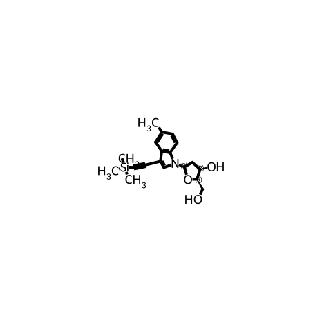 Cc1ccc2c(c1)c(C#C[Si](C)(C)C)cn2[C@H]1C[C@@H](O)[C@@H](CO)O1